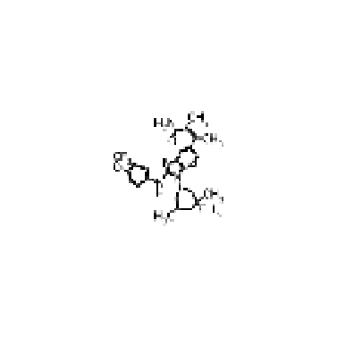 CC(C(N)=O)=C(C)c1ccc2c(c1)nc(Nc1ccc(OC(F)(F)F)cc1)n2[C@@H]1C[C@H](C)CC(C)(C)C1